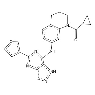 O=C(C1CC1)N1CCCc2ccc(Nc3nc(-c4ccoc4)nc4cn[nH]c34)cc21